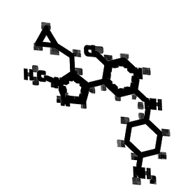 Cn1ncc(-c2cc(NC3CCC(N)CC3)ncc2Cl)c1CC1CC1